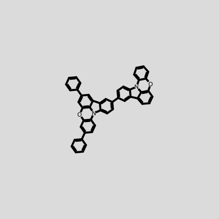 c1ccc(-c2ccc3c(c2)Oc2cc(-c4ccccc4)cc4c5cc(-c6ccc7c(c6)c6cccc8c6n7-c6ccccc6O8)ccc5n-3c24)cc1